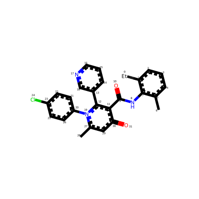 CCc1cccc(C)c1NC(=O)c1c(-c2cccnc2)n(-c2ccc(Cl)cc2)c(C)cc1=O